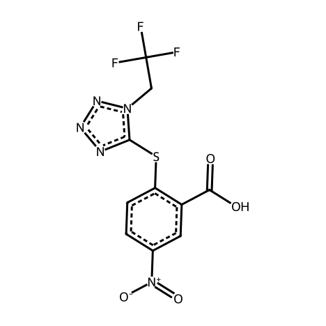 O=C(O)c1cc([N+](=O)[O-])ccc1Sc1nnnn1CC(F)(F)F